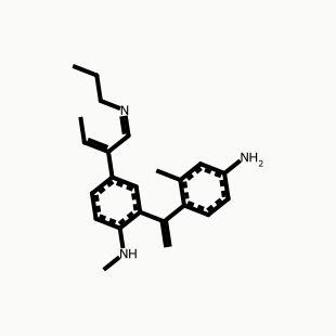 C=C(c1ccc(N)cc1C)c1cc(C(/C=N\CCC)=C/C)ccc1NC